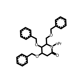 CCCN1C(=O)CC(OCc2ccccc2)C(OCc2ccccc2)C1COCc1ccccc1